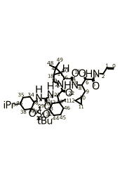 C=CCNC(=O)C(=O)C(CC1CC1)NC(=O)[C@@H]1[C@@H]2C(CN1C(=O)[C@@H](NC(=O)N[C@]1(CS(=O)(=O)C(C)(C)C)CC[C@H](C(C)C)CC1)C1(C)CCCCC1)C2(C)C